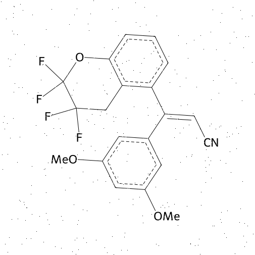 COc1cc(OC)cc(C(=CC#N)c2cccc3c2CC(F)(F)C(F)(F)O3)c1